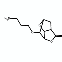 O=C1OC2C(OCCC[SiH3])C3CC1C2O3